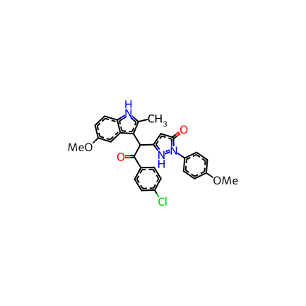 COc1ccc(-n2[nH]c(C(C(=O)c3ccc(Cl)cc3)c3c(C)[nH]c4ccc(OC)cc34)cc2=O)cc1